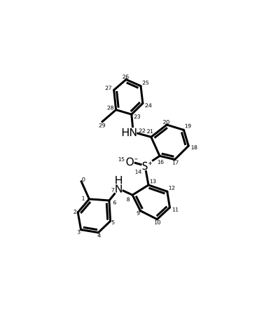 Cc1ccccc1Nc1ccccc1[S+]([O-])c1ccccc1Nc1ccccc1C